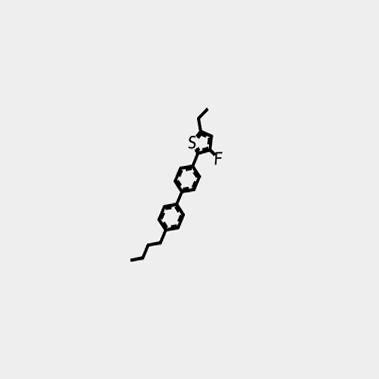 CCCCc1ccc(-c2ccc(-c3sc(CC)cc3F)cc2)cc1